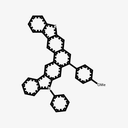 COc1ccc(-c2cc3cc4sc5ccccc5c4cc3c3cc4c5ccccc5n(-c5ccccc5)c4cc23)cc1